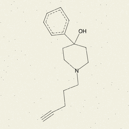 C#CCCCN1CCC(O)(c2ccccc2)CC1